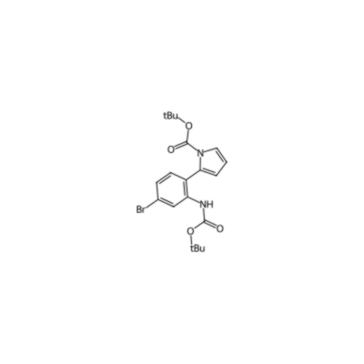 CC(C)(C)OC(=O)Nc1cc(Br)ccc1-c1cccn1C(=O)OC(C)(C)C